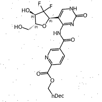 CCCCCCCCCCCOC(=O)c1ccc(C(=O)Nc2nc(=O)[nH]cc2[C@H]2O[C@H](CO)[C@@H](O)C2(F)F)cn1